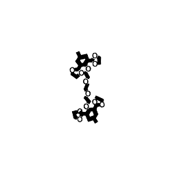 Cc1cc(C2OCCO2)c(OCCOCCOCCOc2c(C3OCCO3)cc(C)cc2C2OCCO2)c(C2OCCO2)c1